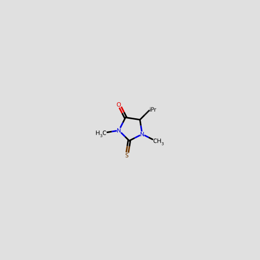 CC(C)C1C(=O)N(C)C(=S)N1C